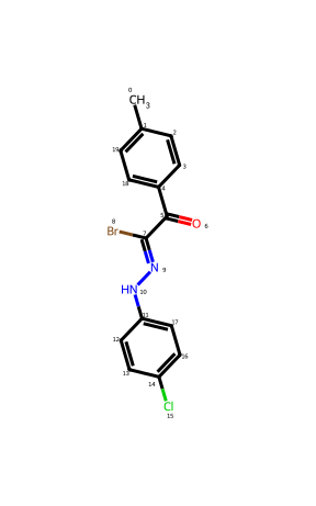 Cc1ccc(C(=O)/C(Br)=N/Nc2ccc(Cl)cc2)cc1